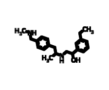 CCc1cccc(C(O)CNC(C)Cc2ccc(CNC)cc2)c1